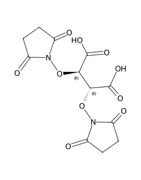 O=C(O)[C@H](ON1C(=O)CCC1=O)[C@@H](ON1C(=O)CCC1=O)C(=O)O